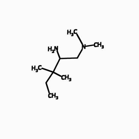 CCC(C)(C)C(N)CN(C)C